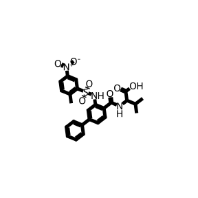 Cc1ccc([N+](=O)[O-])cc1S(=O)(=O)Nc1cc(-c2ccccc2)ccc1C(=O)NC(C(=O)O)C(C)C